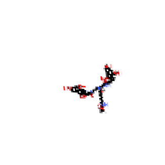 C[C@H](CCC(=O)NCCCCN(CCCNC(=O)CC[C@@H](C)C1CCC2C3C(CO)CC4CC(O)CCC4(C)C3CC(O)C21C)C(=O)CCCCCCCNC(=O)OC(C)(C)C)C1CCC2C3C(O)CC4CC(O)CCC4(C)C3CC(O)C21C